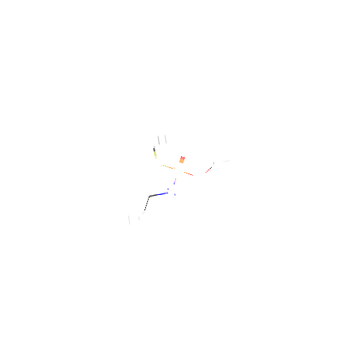 CCNP(=O)(OC)SC